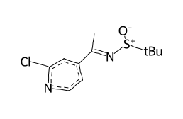 C/C(=N\[S+]([O-])C(C)(C)C)c1ccnc(Cl)c1